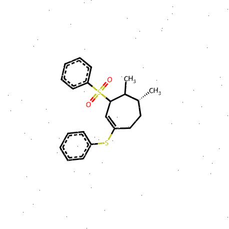 CC1C(S(=O)(=O)c2ccccc2)C=C(Sc2ccccc2)CC[C@H]1C